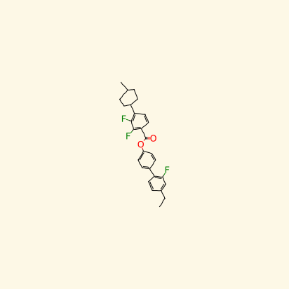 CCc1ccc(-c2ccc(OC(=O)c3ccc(C4CCC(C)CC4)c(F)c3F)cc2)c(F)c1